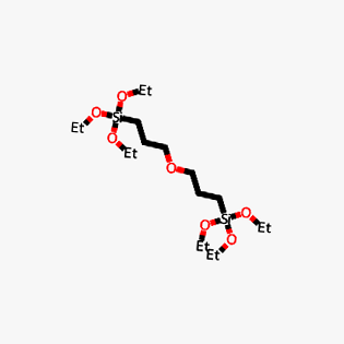 CCO[Si](CCCOCCC[Si](OCC)(OCC)OCC)(OCC)OCC